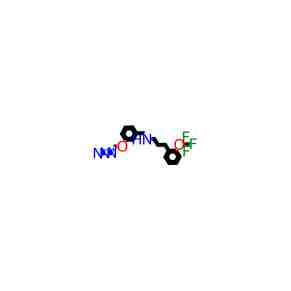 [N-]=[N+]=NCOc1cccc(CNCCCc2ccccc2OC(F)(F)F)c1